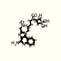 CCNCc1nc2c(N)nc3ccccc3c2n1CCCCN(C(=O)O)C1CS(O)(O)C1